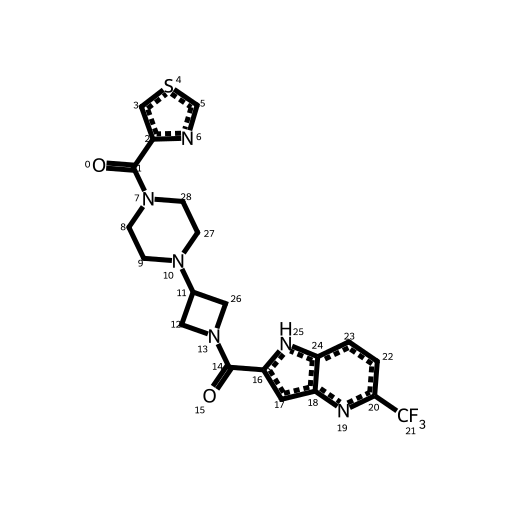 O=C(c1cscn1)N1CCN(C2CN(C(=O)c3cc4nc(C(F)(F)F)ccc4[nH]3)C2)CC1